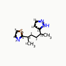 CC(CCC(C)c1nccs1)c1ccn[nH]1